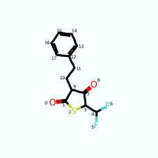 O=C1SC(C(F)F)C(=O)C1CCc1ccccc1